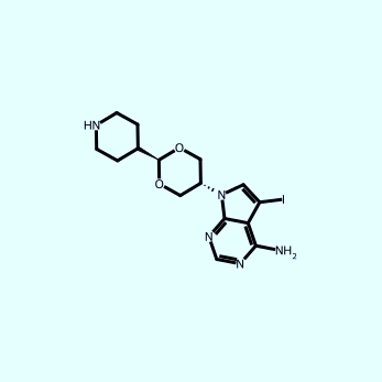 Nc1ncnc2c1c(I)cn2[C@H]1CO[C@H](C2CCNCC2)OC1